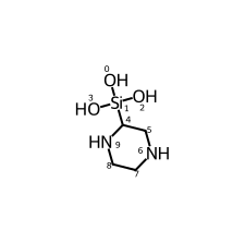 O[Si](O)(O)C1CNCCN1